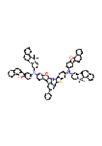 CC1(C)c2ccc(N(c3ccc4c(c3)oc3c4c4cc(-c5ccccc5)cc5c6sc7cc(N(c8ccc9c(c8)-c8ccc%10ccccc%10c8C9(C)C)c8ccc9oc%10c%11ccccc%11ccc%10c9c8)ccc7c6n3c54)c3ccc4oc5c6ccccc6ccc5c4c3)cc2-c2ccc3ccccc3c21